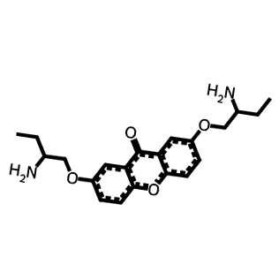 CCC(N)COc1ccc2oc3ccc(OCC(N)CC)cc3c(=O)c2c1